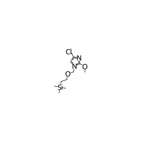 COc1nc(Cl)cn1COCC[Si](C)(C)C